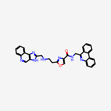 O=C(NCc1nc2ccccc2c2ccccc12)c1coc(CCNCc2nc3c(cnc4ccccc43)[nH]2)n1